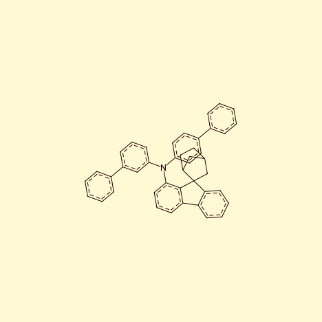 c1ccc(-c2ccc(N(c3cccc(-c4ccccc4)c3)c3cccc4c3C3(CC5CCC3C5)c3ccccc3-4)cc2)cc1